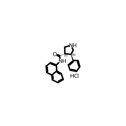 Cl.O=C(Nc1cccc2ccccc12)[C@@H]1CNC[C@H]1c1ccccc1